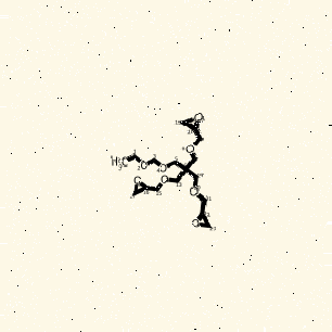 CCOCOCC(COCC1CO1)(COCC1CO1)COCC1CO1